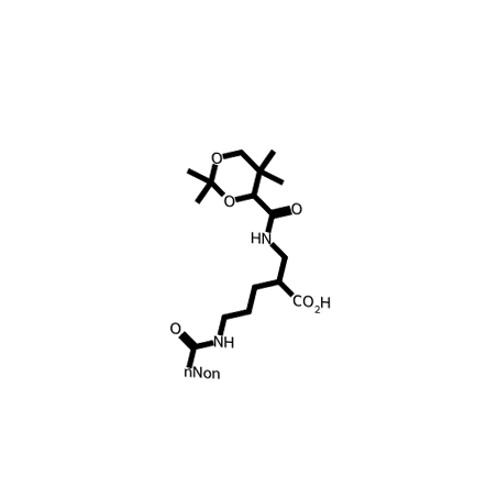 CCCCCCCCCC(=O)NCCCC(CNC(=O)C1OC(C)(C)OCC1(C)C)C(=O)O